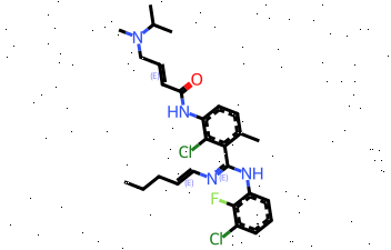 CCC/C=C/N=C(/Nc1cccc(Cl)c1F)c1c(C)ccc(NC(=O)/C=C/CN(C)C(C)C)c1Cl